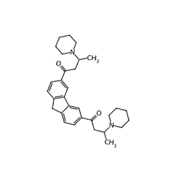 CC(CC(=O)c1ccc2c(c1)-c1cc(C(=O)CC(C)N3CCCCC3)ccc1C2)N1CCCCC1